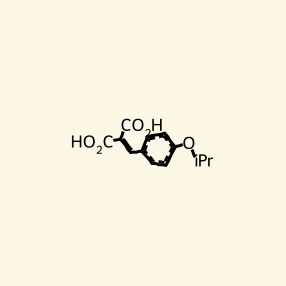 CC(C)Oc1ccc(C=C(C(=O)O)C(=O)O)cc1